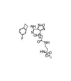 C[S@@](=N)(=O)CCNC(=O)CNc1nonc1C(=NO)N[C@H]1Cc2ccc(F)cc21